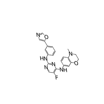 CN1CCOc2cc(Nc3nc(Nc4cccc(-c5cnco5)c4)ncc3F)ccc21